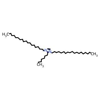 CCCCCCCCCCCCCCCCCCCn1cc[n+](CCCCCCCCCCCCCCCCCCC)c1CCCCCCC